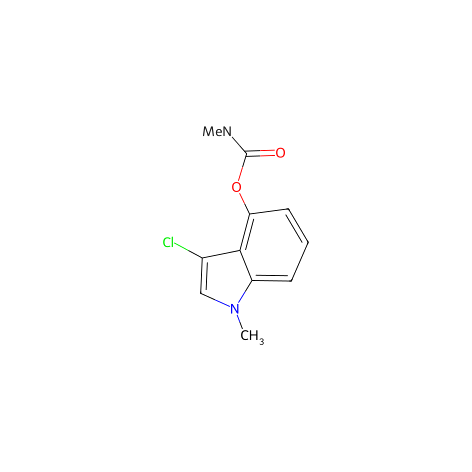 CNC(=O)Oc1cccc2c1c(Cl)cn2C